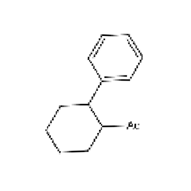 CC(=O)C1CCCCC1c1ccccc1